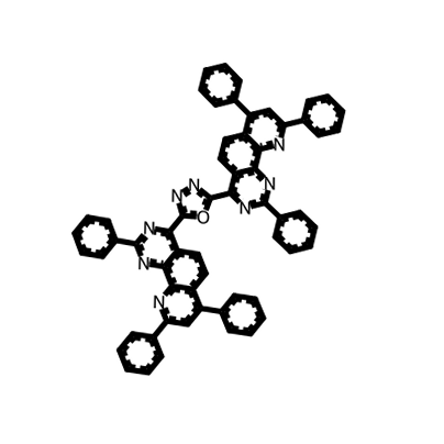 c1ccc(-c2cc(-c3ccccc3)c3ccc4c(-c5nnc(-c6nc(-c7ccccc7)nc7c6ccc6c(-c8ccccc8)cc(-c8ccccc8)nc67)o5)nc(-c5ccccc5)nc4c3n2)cc1